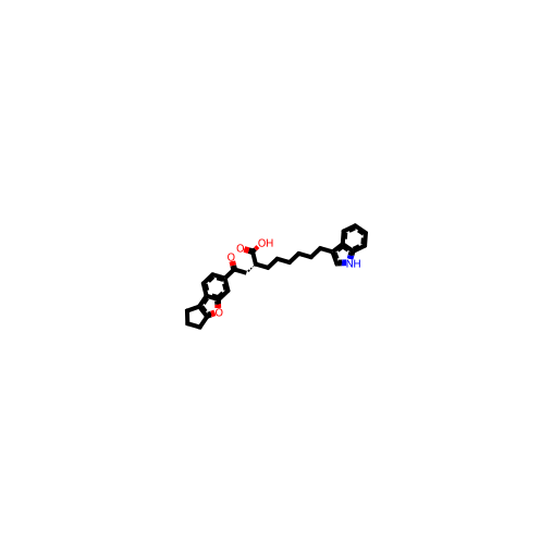 O=C(C[C@@H](CCCCCCc1c[nH]c2ccccc12)C(=O)O)c1ccc2c3c(oc2c1)CCC3